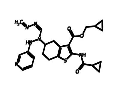 C=N/N=C\N(Nc1cccnc1)C1CCc2sc(NC(=O)C3CC3)c(C(=O)OCC3CC3)c2C1